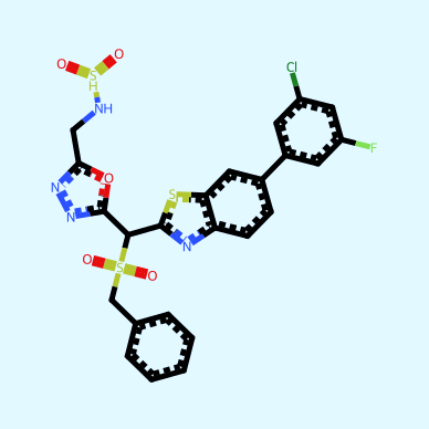 O=[SH](=O)NCc1nnc(C(c2nc3ccc(-c4cc(F)cc(Cl)c4)cc3s2)S(=O)(=O)Cc2ccccc2)o1